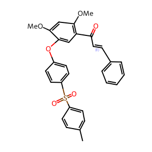 COc1cc(OC)c(C(=O)/C=C/c2ccccc2)cc1Oc1ccc(S(=O)(=O)c2ccc(C)cc2)cc1